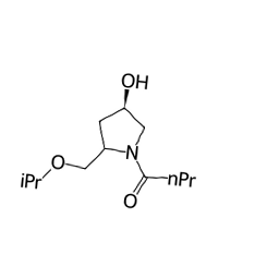 CCCC(=O)N1C[C@H](O)CC1COC(C)C